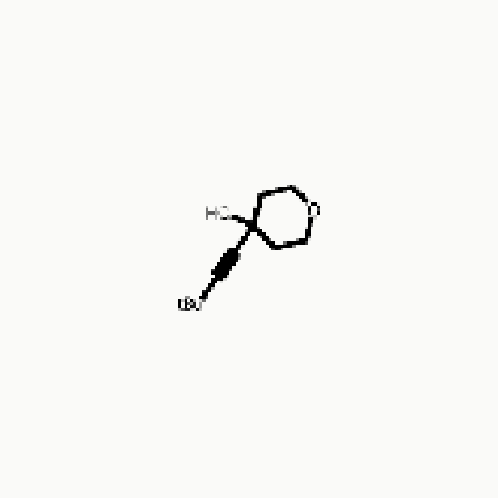 CC(C)(C)C#CC1(O)CCOCC1